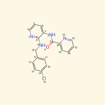 O=C(Nc1cccnc1NCc1ccc(Cl)cc1)c1ccccn1